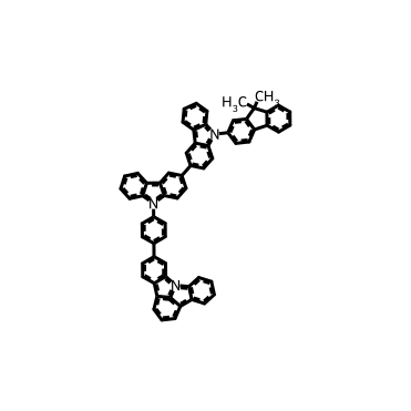 CC1(C)c2ccccc2-c2ccc(-n3c4ccccc4c4cc(-c5ccc6c(c5)c5ccccc5n6-c5ccc(-c6ccc7c8cccc9c%10ccccc%10n(c7c6)c98)cc5)ccc43)cc21